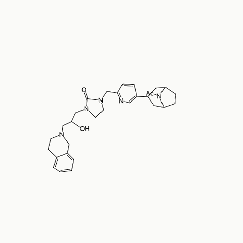 CC(=O)N1C2CCC1CC(c1ccc(CN3CCN(CC(O)CN4CCc5ccccc5C4)C3=O)nc1)C2